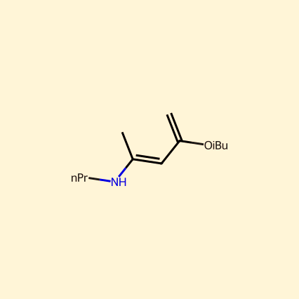 C=C(/C=C(\C)NCCC)OCC(C)C